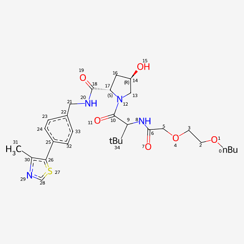 CCCCOCCOCC(=O)NC(C(=O)N1C[C@H](O)C[C@H]1C(=O)NCc1ccc(-c2scnc2C)cc1)C(C)(C)C